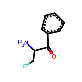 NC(CF)C(=O)c1ccccc1